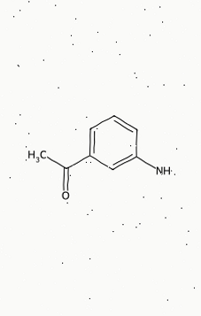 CC(=O)c1cccc([NH])c1